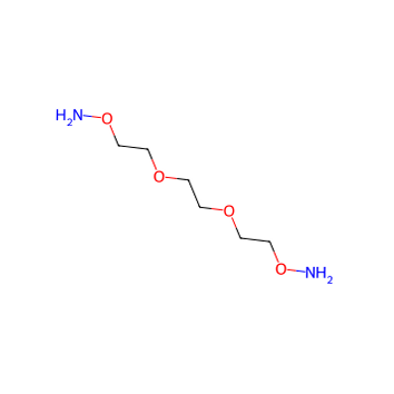 NOCCOCCOCCON